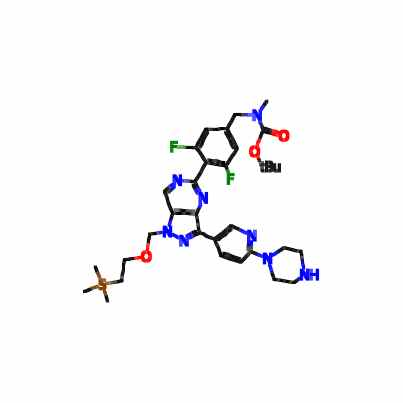 CN(Cc1cc(F)c(-c2ncc3c(n2)c(-c2ccc(N4CCNCC4)nc2)nn3COCCS(C)(C)C)c(F)c1)C(=O)OC(C)(C)C